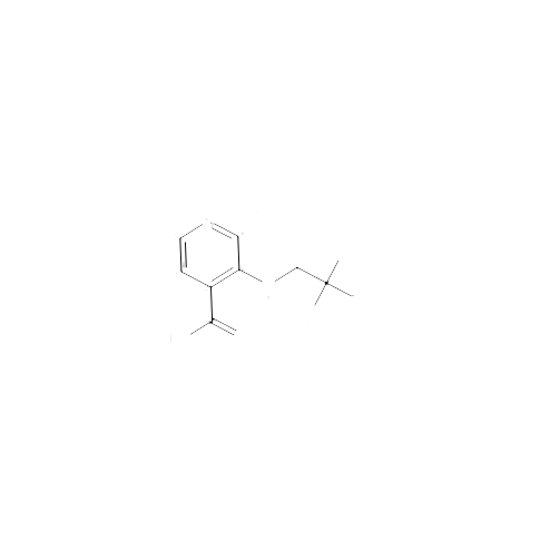 Cl.O=C(O)c1ccncc1OCC(F)(F)F